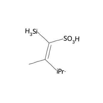 C[C](C)/C(C)=C(/[SiH3])S(=O)(=O)O